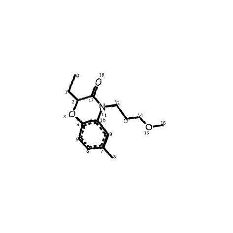 CCC1Oc2ccc(C)cc2N(CCCOC)C1=O